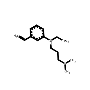 C=Cc1cccc([SiH](CCCN(C)C)COC)c1